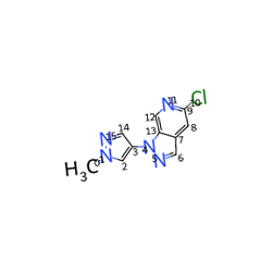 Cn1cc(-n2ncc3cc(Cl)ncc32)cn1